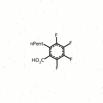 CCCCCc1c(F)c(F)c(F)c(F)c1C(=O)O